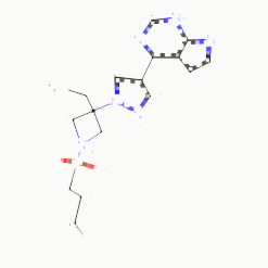 N#CCC1(n2cc(-c3ncnc4[nH]ccc34)cn2)CN(S(=O)(=O)CCCF)C1